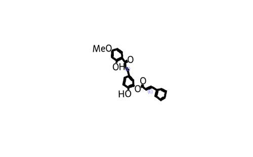 COc1ccc(C(=O)/C=C/c2ccc(O)c(OC(=O)/C=C/c3ccccc3)c2)c(O)c1